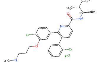 CC(C(=O)O)[C@H](NC(=O)c1ccc(-c2ccccc2Cl)c(-c2ccc(Cl)c(OCCCN(C)C)c2)n1)C(C)(C)C.Cl